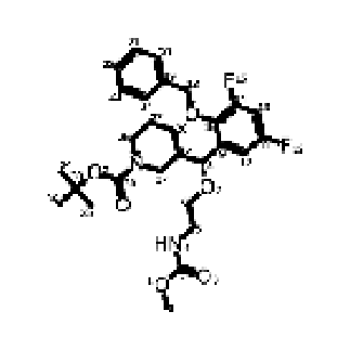 COC(=O)NCCO[C@@H](c1cc(F)cc(F)c1OCc1ccccc1)C1CCCN(C(=O)OC(C)(C)C)C1